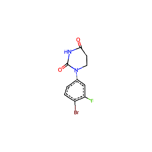 O=C1CCN(c2ccc(Br)c(F)c2)C(=O)N1